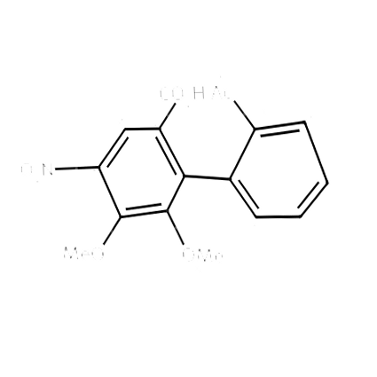 COc1c([N+](=O)[O-])cc(C(=O)O)c(-c2ccccc2C(C)=O)c1OC